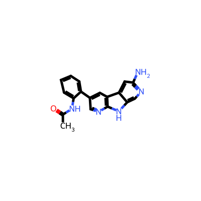 CC(=O)Nc1ccccc1-c1cnc2[nH]c3cnc(N)cc3c2c1